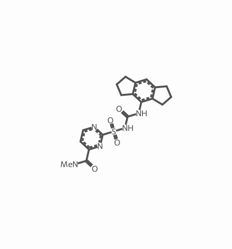 CNC(=O)c1ccnc(S(=O)(=O)NC(=O)Nc2c3c(cc4c2CCC4)CCC3)n1